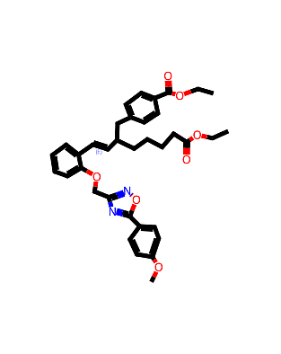 CCOC(=O)CCCCC(/C=C/c1ccccc1OCc1noc(-c2ccc(OC)cc2)n1)Cc1ccc(C(=O)OCC)cc1